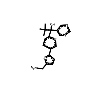 CC(C)(C)C(O)(c1cncnc1)c1ccc(-c2ccc(CN)s2)cn1